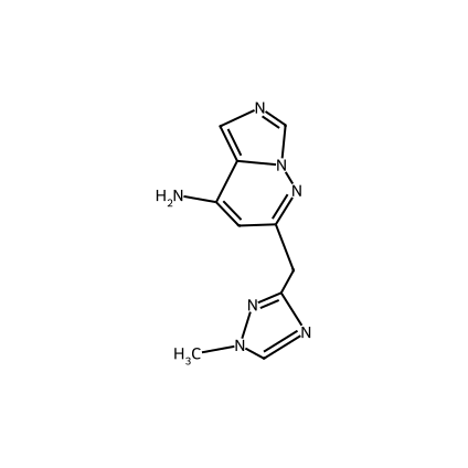 Cn1cnc(Cc2cc(N)c3cncn3n2)n1